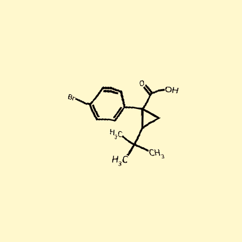 CC(C)(C)C1CC1(C(=O)O)c1ccc(Br)cc1